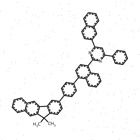 CC1(C)c2ccc(-c3ccc(-c4ccc(-c5nc(-c6ccccc6)cc(-c6ccc7ccccc7c6)n5)c5ccccc45)cc3)cc2-c2cc3ccccc3cc21